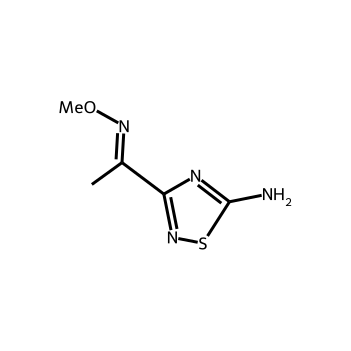 CO/N=C(\C)c1nsc(N)n1